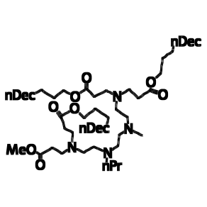 CCCCCCCCCCCCCOC(=O)CCN(CCC(=O)OCCCCCCCCCCCCC)CCN(C)CCN(CCC)CCN(CCC(=O)OC)CCC(=O)OCCCCCCCCCCCCC